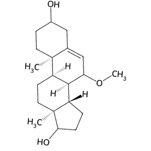 COC1C=C2CC(O)CC[C@]2(C)[C@@H]2CC[C@]3(C)C(O)CC[C@H]3[C@H]12